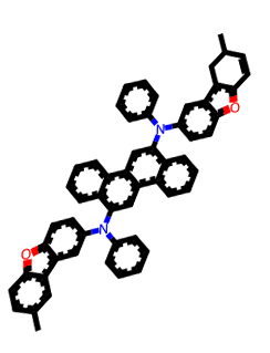 Cc1ccc2oc3ccc(N(c4ccccc4)c4cc5c6ccccc6c(N(c6ccccc6)c6ccc7oc8c(c7c6)CC(C)C=C8)cc5c5ccccc45)cc3c2c1